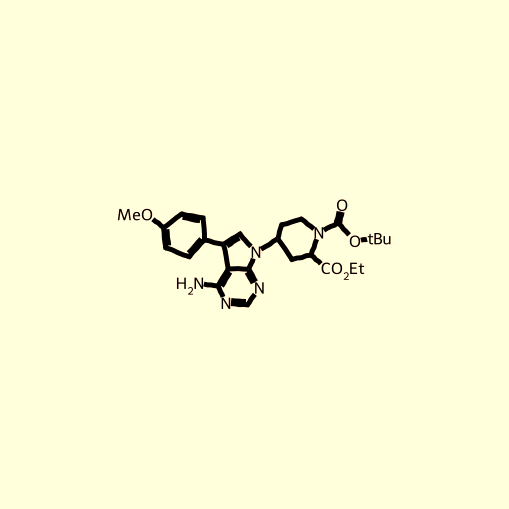 CCOC(=O)C1CC(n2cc(-c3ccc(OC)cc3)c3c(N)ncnc32)CCN1C(=O)OC(C)(C)C